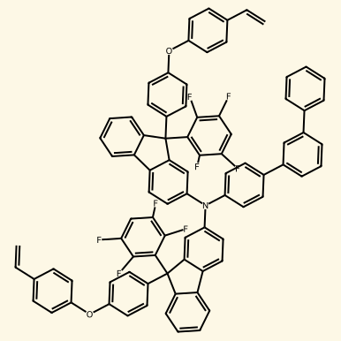 C=Cc1ccc(Oc2ccc(C3(c4c(F)c(F)cc(F)c4F)c4ccccc4-c4ccc(N(c5ccc(-c6cccc(-c7ccccc7)c6)cc5)c5ccc6c(c5)C(c5ccc(Oc7ccc(C=C)cc7)cc5)(c5c(F)c(F)cc(F)c5F)c5ccccc5-6)cc43)cc2)cc1